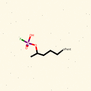 CCCCCCCCC(C)OP(=O)(O)F